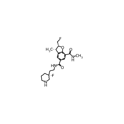 CNC(=O)c1cc(C(=O)NCC[C@]2(F)CCCNC2)cc2c1O[C@H](CF)[C@H]2C